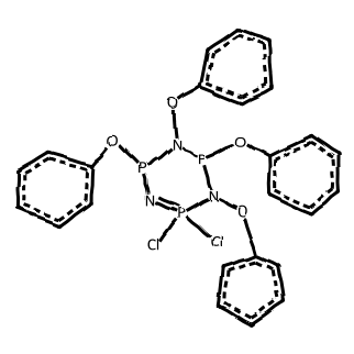 ClP1(Cl)=NP(Oc2ccccc2)N(Oc2ccccc2)P(Oc2ccccc2)N1Oc1ccccc1